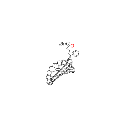 CC(C)COC(=O)CCCC1(c2ccccc2)C2c3cc4c5c6c7c8c9c%10c%11c%12c(cc%13cc%14c%15c(c%16c3c5c8c%16c%10c%15c%13%11)C21C=%14)CC1CC(C=C6C4)C7C=9C%121